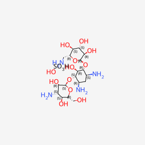 NC[C@H]1O[C@H](O[C@H]2[C@H](O)[C@@H](O[C@H]3O[C@H](CO)[C@@H](O)[C@H](N)[C@H]3O)[C@H](N)C[C@@H]2N)[C@H](O)[C@@H](O)[C@@H]1O.O=S(=O)(O)O